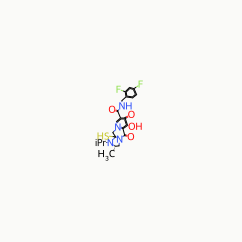 CC(C)N1[C@@H](C)CN2C(=O)c3c(O)c(=O)c(C(=O)NCc4ccc(F)cc4F)cn3CC21S